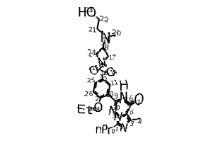 CCCc1nc(C)c2c(=O)[nH]c(-c3cc(S(=O)(=O)N4CC(N(C)CCO)C4)ccc3OCC)nn12